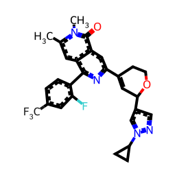 Cc1cc2c(-c3ccc(C(F)(F)F)cc3F)nc(C3=CC(c4cnn(C5CC5)c4)OCC3)cc2c(=O)n1C